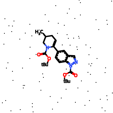 CC1CC=C(c2ccc3c(cnn3C(=O)OC(C)(C)C)c2)N(C(=O)OC(C)(C)C)C1